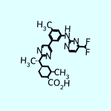 Cc1cc(Nc2nccc(C(F)F)n2)cc(-c2cnc([C@@H](C)[C@@H]3CC[C@H](C(=O)O)[C@H](C)C3)nc2)c1